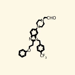 O=CCN1CCN(c2ccc3nc(CCOc4ccccc4)n(Cc4ccc(C(F)(F)F)cc4)c3c2)CC1